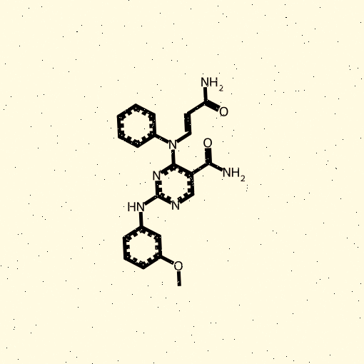 COc1cccc(Nc2ncc(C(N)=O)c(N(C=CC(N)=O)c3ccccc3)n2)c1